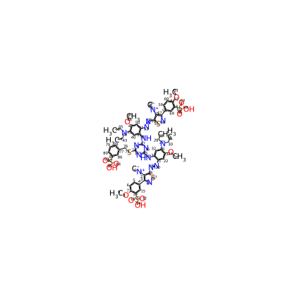 [C-]#[N+]c1c(-c2ccc(OC)c(S(=O)(=O)O)c2)nsc1/N=N/c1cc(OC)c(N(CC)CC)cc1Nc1nc(Nc2cc(N(CC)CC)c(OC)cc2/N=N/c2snc(-c3ccc(OC)c(S(=O)(=O)O)c3)c2[N+]#[C-])nc(SCc2cccc(S(=O)(=O)O)c2)n1